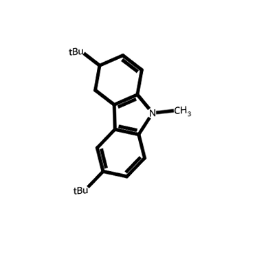 Cn1c2c(c3cc(C(C)(C)C)ccc31)CC(C(C)(C)C)C=C2